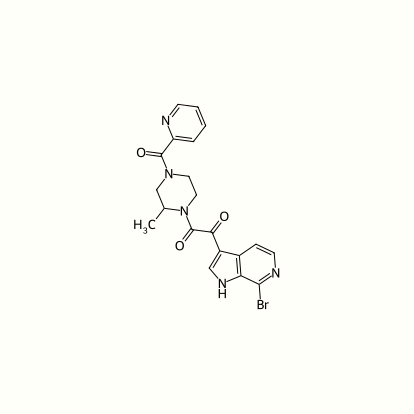 CC1CN(C(=O)c2ccccn2)CCN1C(=O)C(=O)c1c[nH]c2c(Br)nccc12